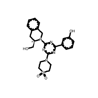 O=S1(=O)CCN(c2nc(-c3cccc(O)c3)nc(N3Cc4ccccc4C[C@@H]3CO)n2)CC1